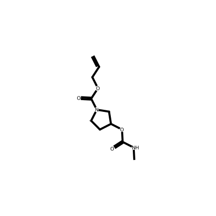 C=CCOC(=O)N1[CH]CC(OC(=O)NC)C1